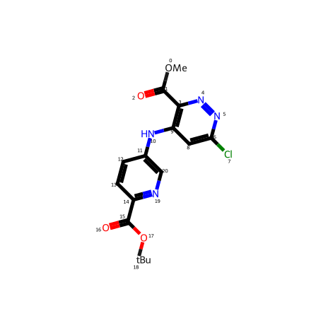 COC(=O)c1nnc(Cl)cc1Nc1ccc(C(=O)OC(C)(C)C)nc1